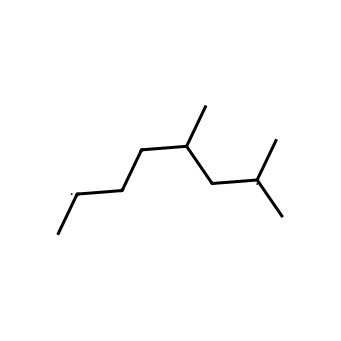 C[CH]CCC(C)C[C](C)C